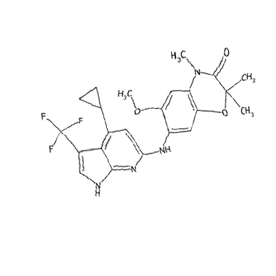 COc1cc2c(cc1Nc1cc(C3CC3)c3c(C(F)(F)F)c[nH]c3n1)OC(C)(C)C(=O)N2C